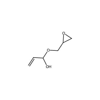 C=CC(O)OCC1CO1